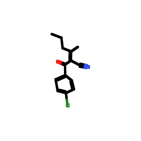 CCCC(C)=C(C#N)C(=O)c1ccc(Cl)cc1